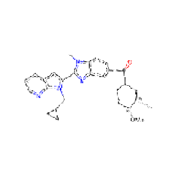 CO[C@@H]1CCC(C(=O)c2ccc3c(c2)nc(-c2cc4cccnc4n2CC2CC2)n3C)C[C@@H]1C